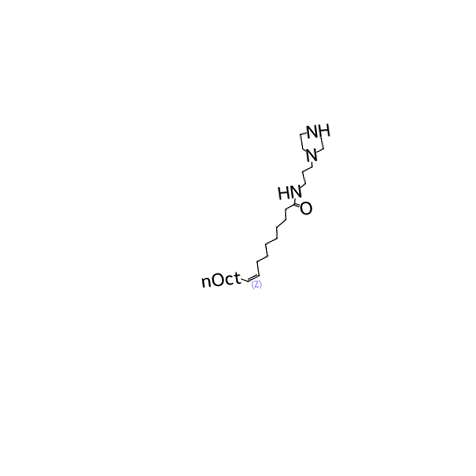 CCCCCCCC/C=C\CCCCCCCC(=O)NCCCN1CCNCC1